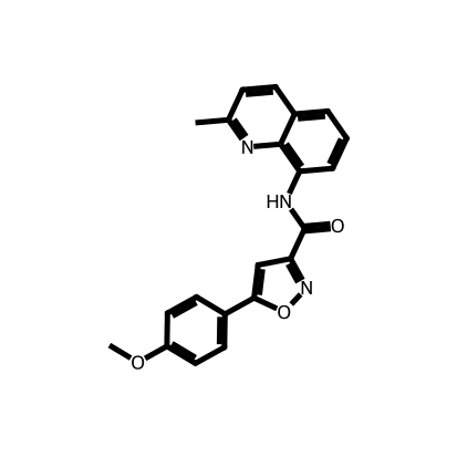 COc1ccc(-c2cc(C(=O)Nc3cccc4ccc(C)nc34)no2)cc1